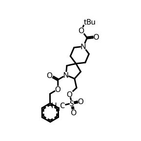 CC(C)(C)OC(=O)N1CCC2(CC1)CC(COS(C)(=O)=O)N(C(=O)OCc1ccccc1)C2